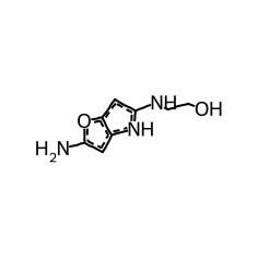 Nc1cc2[nH]c(NCCO)cc2o1